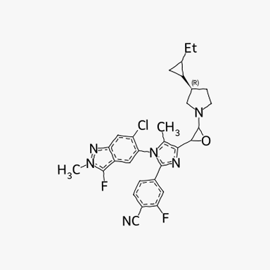 CCC1CC1[C@H]1CCN(C2OC2c2nc(-c3ccc(C#N)c(F)c3)n(-c3cc4c(F)n(C)nc4cc3Cl)c2C)C1